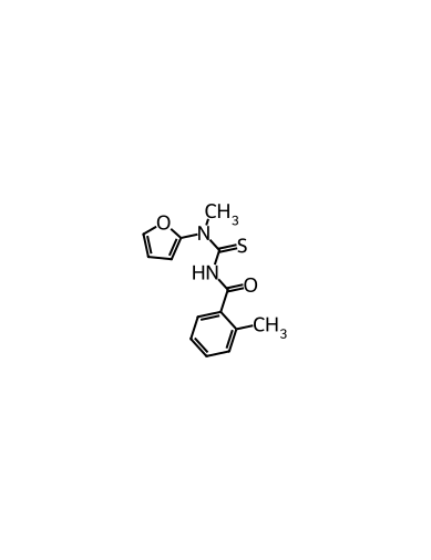 Cc1ccccc1C(=O)NC(=S)N(C)c1ccco1